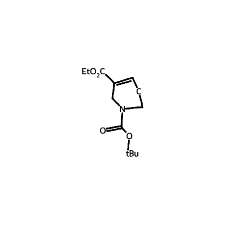 CCOC(=O)C1=CCCN(C(=O)OC(C)(C)C)C1